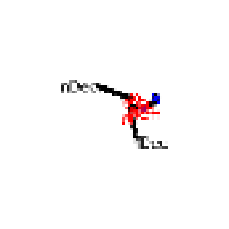 CCCCCCCCCCCCCCCCCCCC(=O)OC(COC(=O)CCCCCCCCCCCCCCC)COP(=O)(O)OCC[N+](C)(C)C